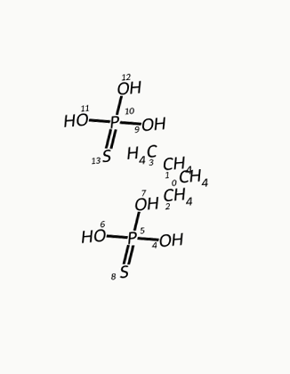 C.C.C.C.OP(O)(O)=S.OP(O)(O)=S